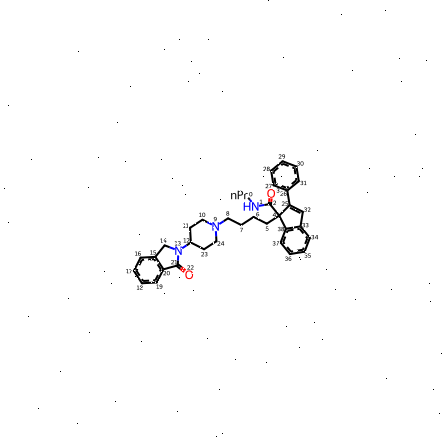 CCCNC(=O)C1(CCCCN2CCC(N3Cc4ccccc4C3=O)CC2)C(c2ccccc2)=Cc2ccccc21